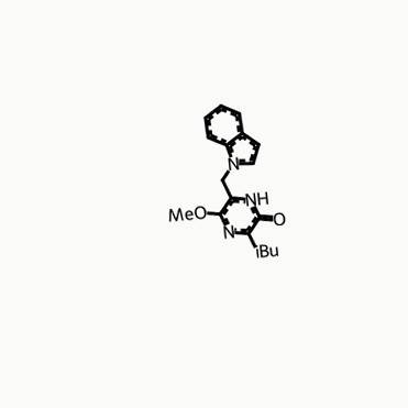 CCC(C)c1nc(OC)c(Cn2ccc3ccccc32)[nH]c1=O